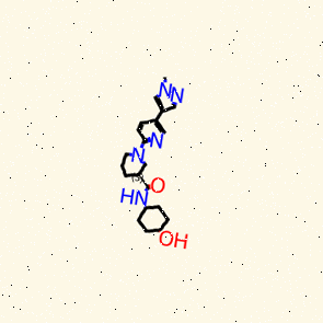 Cn1cc(-c2ccc(N3CCC[C@H](C(=O)NC4CCC(O)CC4)C3)nc2)cn1